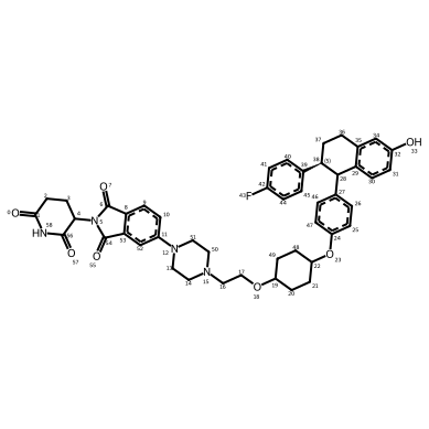 O=C1CCC(N2C(=O)c3ccc(N4CCN(CCOC5CCC(Oc6ccc(C7c8ccc(O)cc8CC[C@@H]7c7ccc(F)cc7)cc6)CC5)CC4)cc3C2=O)C(=O)N1